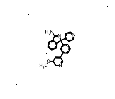 COC1C=C(c2cccc(C3(c4ccncc4)N=C(N)c4ccccc43)c2)C=NC1